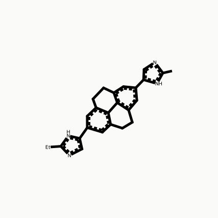 CCc1ncc(-c2cc3c4c(c2)CCc2cc(-c5cnc(C)[nH]5)cc(c2-4)CC3)[nH]1